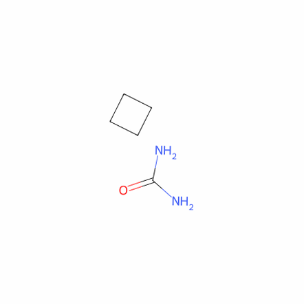 C1CCC1.NC(N)=O